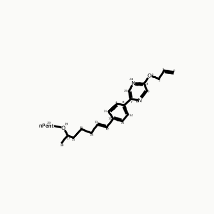 C=CCOc1cnc(-c2ccc(/C=C/CCCC(C)OCCCCC)cc2)cn1